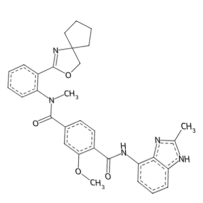 COc1cc(C(=O)N(C)c2ccccc2C2=NC3(CCCC3)CO2)ccc1C(=O)Nc1cccc2[nH]c(C)nc12